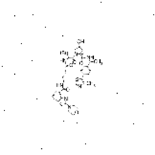 Cc1ncsc1-c1ccc(C(C)NC(=O)[C@@H]2C[C@@H](O)CN2C(=O)C(NC(=O)CCCCNC(=O)c2cccc3sc(N4CCOCC4)nc23)C(C)(C)C)cc1